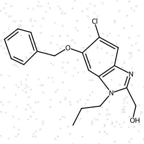 CCCn1c(CO)nc2cc(Cl)c(OCc3ccccc3)cc21